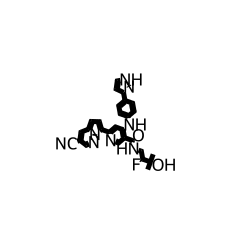 CC(C)(O)[C@H](F)CNC(=O)c1cnc(-c2ccc3cc(C#N)cnn23)cc1Nc1ccc(-c2cc[nH]n2)cc1